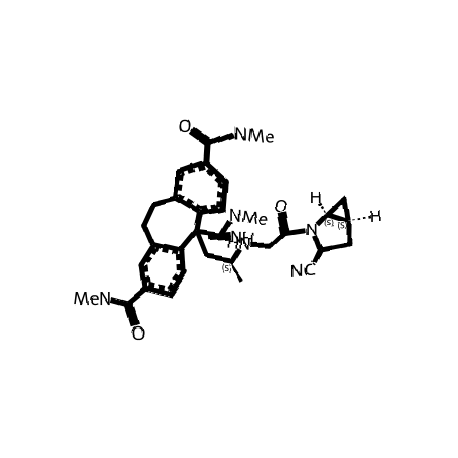 CNC(=N)C1(C[C@H](C)NCC(=O)N2C(C#N)C[C@@H]3C[C@@H]32)c2ccc(C(=O)NC)cc2CCc2cc(C(=O)NC)ccc21